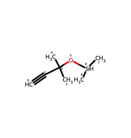 C#CC(C)(C)O[SiH](C)C